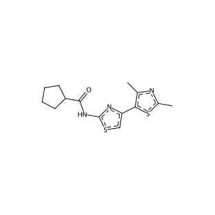 Cc1nc(C)c(-c2csc(NC(=O)C3CCCC3)n2)s1